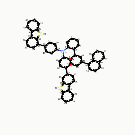 c1cc(-c2ccccc2N(c2ccc(-c3ccc4c(c3)sc3ccccc34)cc2)c2ccc(-c3cccc4c3sc3ccccc34)cc2)cc(-c2cccc3ccccc23)c1